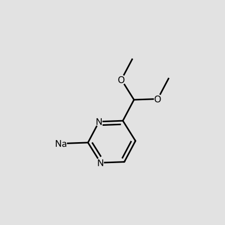 COC(OC)c1ccn[c]([Na])n1